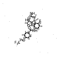 C[C@]1(c2cc(NC(=O)c3ccc(OCC(F)(F)F)cn3)ccc2F)N=C(N)O[C@@H]2COC[C@@H]21